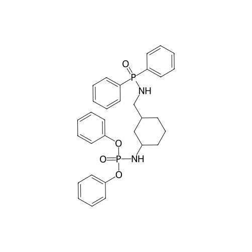 O=P(NC1CCCC(CNP(=O)(c2ccccc2)c2ccccc2)C1)(Oc1ccccc1)Oc1ccccc1